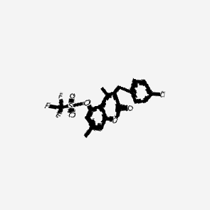 Cc1cc(OS(=O)(=O)C(F)(F)F)c2c(C)c(Cc3ccc(Cl)cc3)c(=O)oc2c1